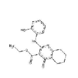 CCOC(=O)c1c(Nc2ccccc2O)nc2n(c1=O)CCCC2